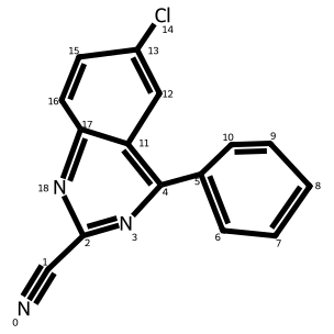 N#Cc1nc(-c2ccccc2)c2cc(Cl)ccc2n1